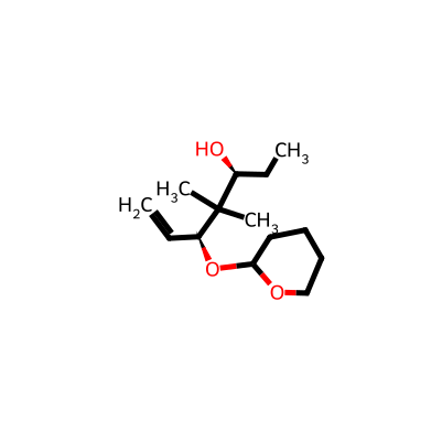 C=C[C@H](OC1CCCCO1)C(C)(C)[C@@H](O)CC